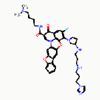 CN(C)CCCCNC(=O)c1cn2c3c(c(N4CC[C@@H](NCCCNCCCn5ccnc5)C4)c(F)cc3c1=O)Oc1cc3c(cc1-2)oc1ccccc13